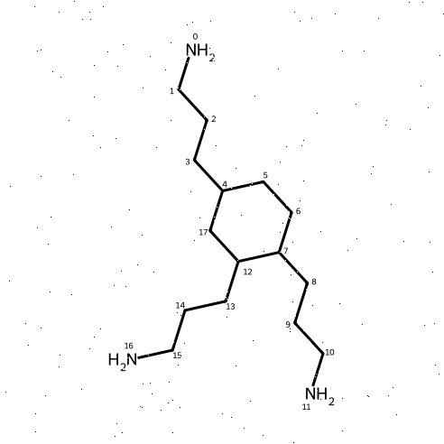 NCCCC1CCC(CCCN)C(CCCN)C1